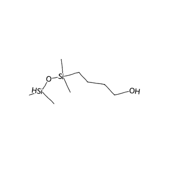 C[SiH](C)O[Si](C)(C)CCCCO